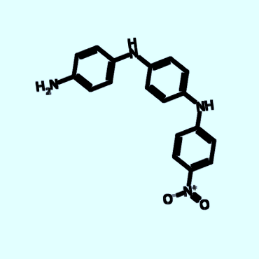 Nc1ccc(Nc2ccc(Nc3ccc([N+](=O)[O-])cc3)cc2)cc1